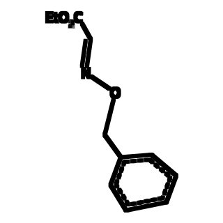 CCOC(=O)C=NOCc1ccccc1